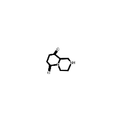 O=C1CCC(=O)N2CCNCC12